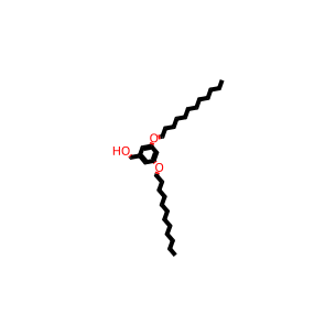 CCCCCCCCCCCCOc1cc(CO)cc(OCCCCCCCCCCCC)c1